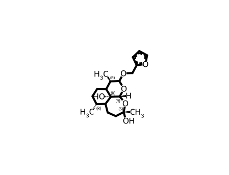 C[C@H]1C(OCc2ccco2)O[C@@H]2O[C@](C)(O)CCC3[C@H](C)CCC1[C@]32O